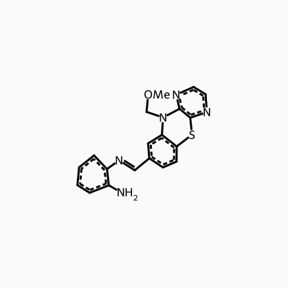 COCN1c2cc(C=Nc3ccccc3N)ccc2Sc2nccnc21